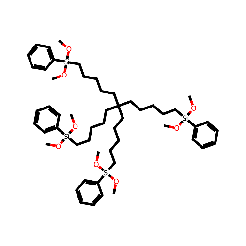 CO[Si](CCCCCC(CCCCC[Si](OC)(OC)c1ccccc1)(CCCCC[Si](OC)(OC)c1ccccc1)CCCCC[Si](OC)(OC)c1ccccc1)(OC)c1ccccc1